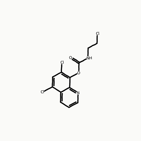 O=C(NCCCl)Oc1c(Cl)cc(Cl)c2cccnc12